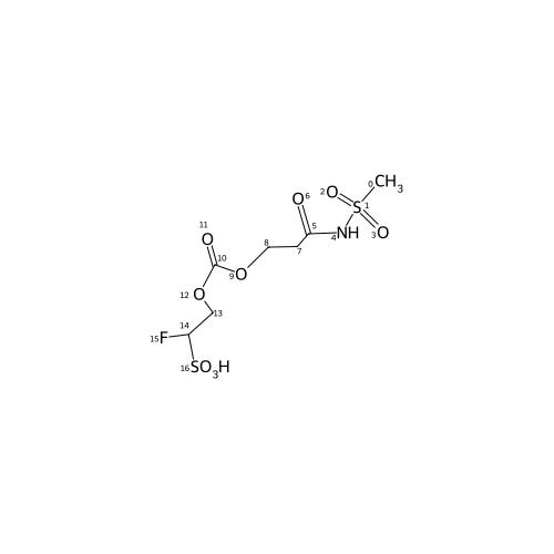 CS(=O)(=O)NC(=O)CCOC(=O)OCC(F)S(=O)(=O)O